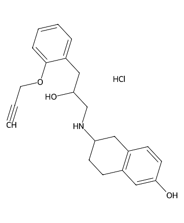 C#CCOc1ccccc1CC(O)CNC1CCc2cc(O)ccc2C1.Cl